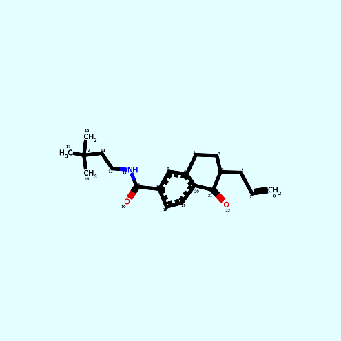 C=CCC1CCc2cc(C(=O)NCCC(C)(C)C)ccc2C1=O